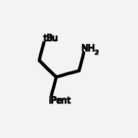 CCCC(C)C(CN)CC(C)(C)C